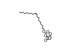 CCCCCCCC/C=C\CCCCCCCCOC(=O)ON1C(=O)CCC1=O